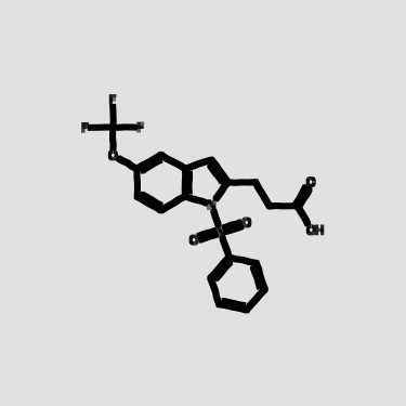 O=C(O)CCc1cc2cc(OC(F)(F)F)ccc2n1S(=O)(=O)c1ccccc1